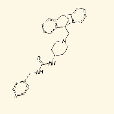 O=C(NCc1ccncc1)NC1CCN(CC23CC(c4ccccc42)c2ccccc23)CC1